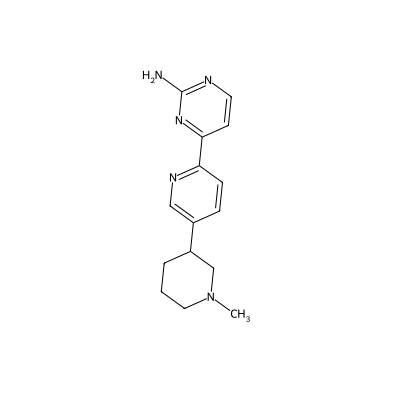 CN1CCCC(c2ccc(-c3ccnc(N)n3)nc2)C1